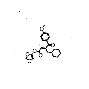 COc1ccc(C(=O)C(=CC(=O)OC2=COCO2)CC2CCCCC2)cc1